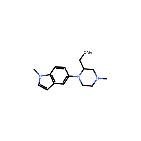 COCC1CN(C)CCN1c1ccc2c(ccn2C)c1